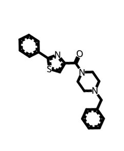 O=C(c1csc(-c2ccccc2)n1)N1CCN(Cc2ccccc2)CC1